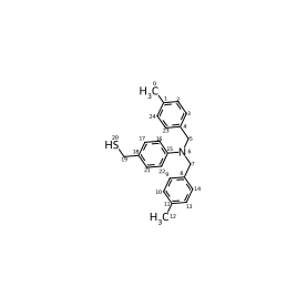 Cc1ccc(CN(Cc2ccc(C)cc2)c2ccc(CS)cc2)cc1